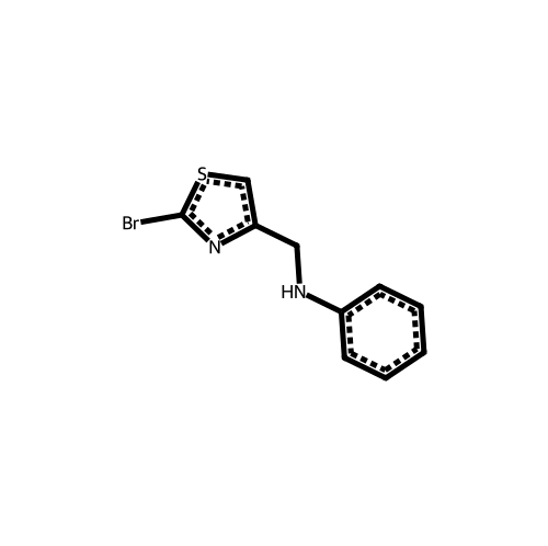 Brc1nc(CNc2ccccc2)cs1